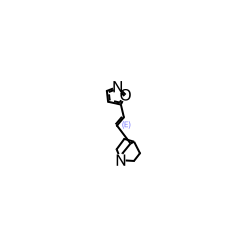 C(=C\C1CN2CCC1CC2)/c1ccno1